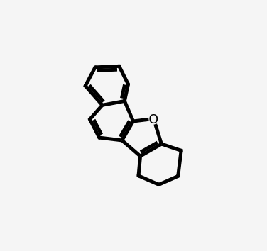 c1ccc2c(c1)ccc1c3c(oc12)CCCC3